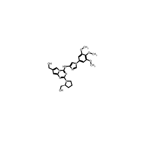 COc1cc(-n2cnc(Nc3nc(N4CCC[C@H]4CO)nc4cc(CO)cn34)c2)cc(OC)c1OC